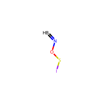 B=NOSI